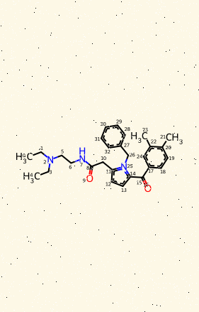 CCN(CC)CCNC(=O)Cc1ccc(C(=O)c2ccc(C)c(C)c2)n1Cc1ccccc1